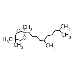 CC(C)CCCC(C)CCCCC1(C)OCC(C)(C)CO1